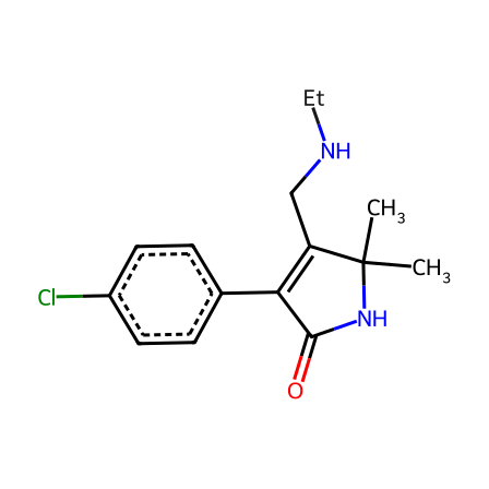 CCNCC1=C(c2ccc(Cl)cc2)C(=O)NC1(C)C